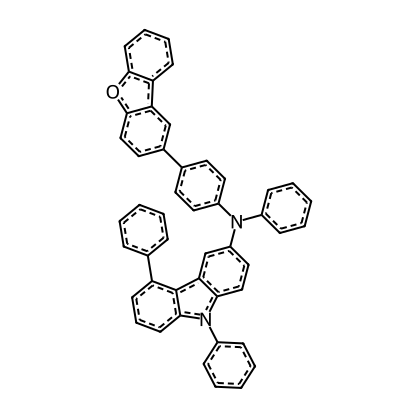 c1ccc(-c2cccc3c2c2cc(N(c4ccccc4)c4ccc(-c5ccc6oc7ccccc7c6c5)cc4)ccc2n3-c2ccccc2)cc1